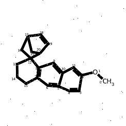 COc1ccc2cc3c(cc2c1)C1(CCC3)CC2C=CC1C2